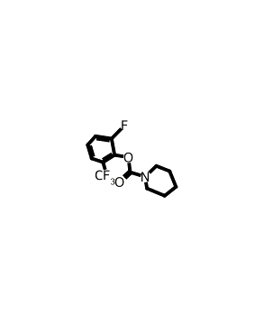 O=C(Oc1c(F)cccc1C(F)(F)F)N1CCCCC1